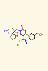 CN(C)C(=O)c1cn(CC2(O)CCNCC23CCCC3)c(=O)cc1-c1cccc(CO)c1.Cl